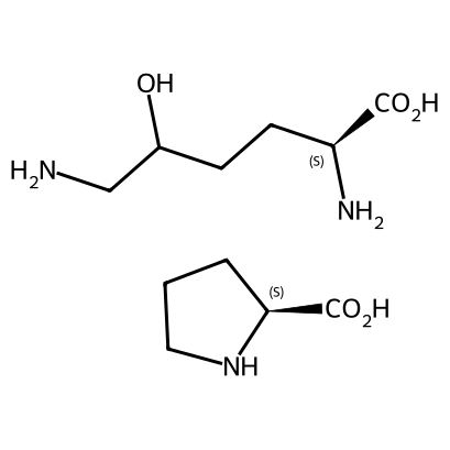 NCC(O)CC[C@H](N)C(=O)O.O=C(O)[C@@H]1CCCN1